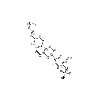 CC/C=C/C1CCc2c(ccc3c2CCC(c2ccc(OC(F)(F)F)c(F)c2)C3)C1